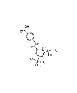 CS(C)(C)c1cc(C(=S)Nc2ccc(C(=O)O)cc2)cc(S(C)(C)C)c1